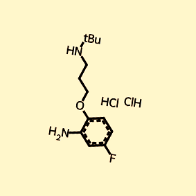 CC(C)(C)NCCCOc1ccc(F)cc1N.Cl.Cl